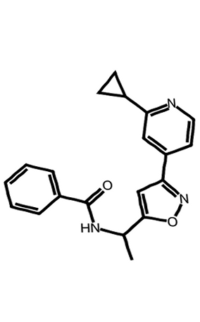 CC(NC(=O)c1ccccc1)c1cc(-c2ccnc(C3CC3)c2)no1